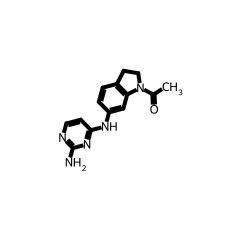 CC(=O)N1CCc2ccc(Nc3ccnc(N)n3)cc21